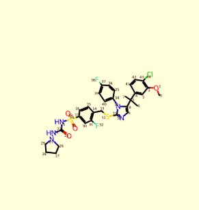 COc1cc(C(C)(C)c2cnc(SCc3ccc(S(=O)(=O)NC(=O)NN4CCCC4)cc3F)n2-c2ccc(F)cc2)ccc1Cl